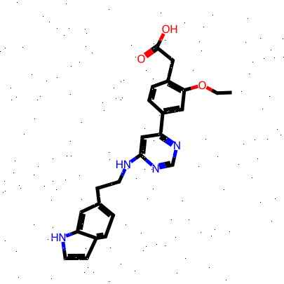 CCOc1cc(-c2cc(NCCc3ccc4cc[nH]c4c3)ncn2)ccc1CC(=O)O